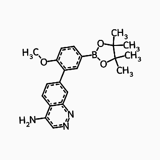 COc1ccc(B2OC(C)(C)C(C)(C)O2)cc1-c1ccc2c(N)cnnc2c1